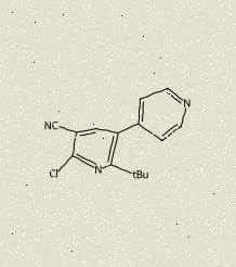 CC(C)(C)c1nc(Cl)c(C#N)cc1-c1ccncc1